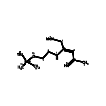 CNC/C(=C/C(C)=N)NCCO[Si](C)(C)C(C)(C)C